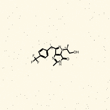 Cc1nc2c([C@@H](C)c3ccc(C(F)(F)F)cc3)nn([C@@H](C)CO)c2c(=O)[nH]1